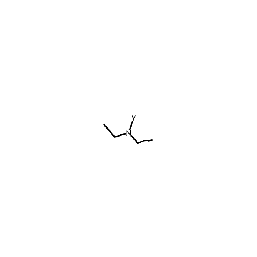 CC[N]([Y])CC